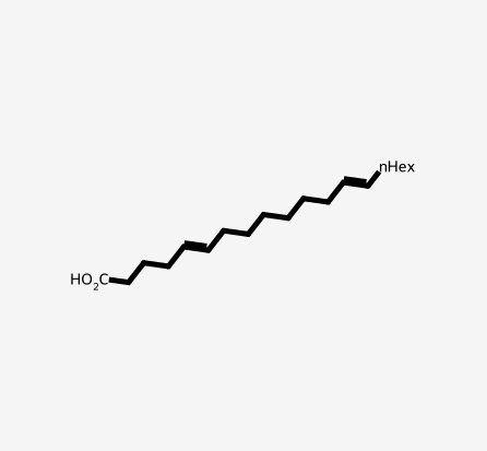 CCCCCCC=CCCCCCCC=CCCCC(=O)O